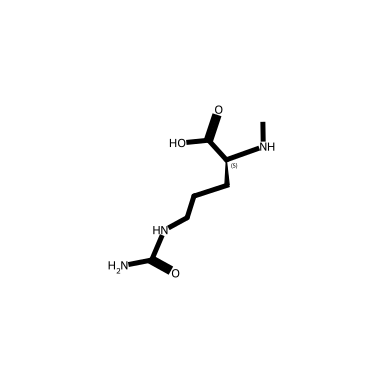 CN[C@@H](CCCNC(N)=O)C(=O)O